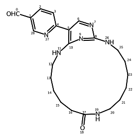 O=Cc1ccc(-c2cnc3nc2NCCCCCC(=O)NCCCCCCN3)nc1